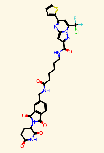 O=C(CCCCCNC(=O)c1cc2nc(-c3cccs3)cc(C(F)(F)Cl)n2n1)NCc1ccc2c(c1)C(=O)N(C1CCC(=O)NC1=O)C2=O